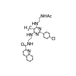 CC(=O)NCCNc1nc(-c2ccc(Cl)cc2)nc(NCCNC(=O)c2ccc3ccccc3n2)c1C